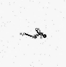 CCCCCCCCSc1nnc(N=Nc2c(CCCC)nn3nc(-c4ccccc4)[nH]c23)s1